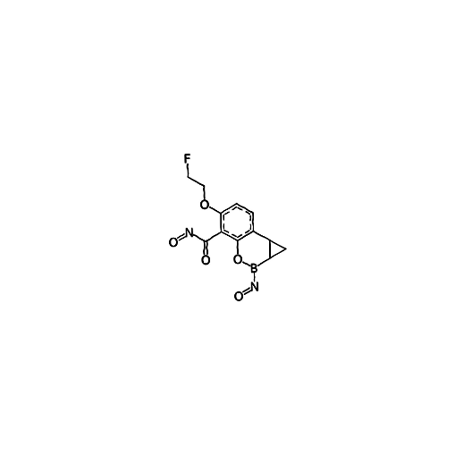 O=NB1Oc2c(ccc(OCCF)c2C(=O)N=O)C2CC12